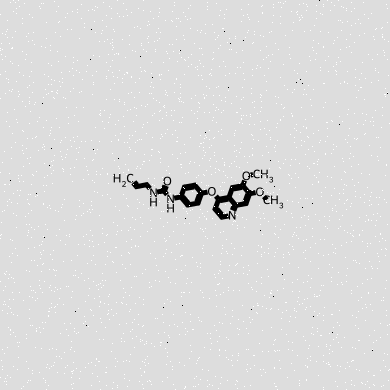 C=CCNC(=O)Nc1ccc(Oc2ccnc3cc(OC)c(OC)cc23)cc1